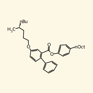 CCCCCCCCc1ccc(OC(=O)c2cc(OCCC[C@@H](C)CCCC)ccc2-c2ccccc2)cc1